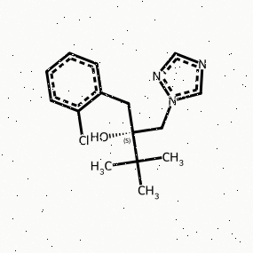 CC(C)(C)[C@@](O)(Cc1ccccc1Cl)Cn1cncn1